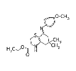 CCOC(=O)[C@@H]1CSC2=C(CC(C)(C)CC2=Nc2ccc(OC)cc2)N1